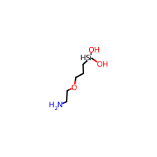 NCCOCCC[SiH](O)O